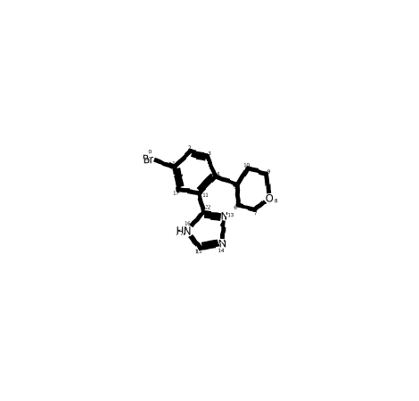 Brc1ccc(C2CCOCC2)c(-c2nnc[nH]2)c1